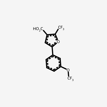 O=C(O)c1cc(-c2cccc(OC(F)(F)F)c2)oc1C(F)(F)F